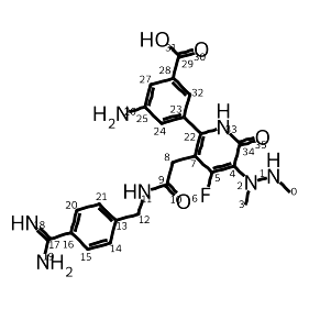 CNN(C)c1c(F)c(CC(=O)NCc2ccc(C(=N)N)cc2)c(-c2cc(N)cc(C(=O)O)c2)[nH]c1=O